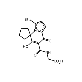 CC(C)(C)c1ccc2n1C1(CCCC1)C(O)=C(C(=O)NCC(=O)O)C2=O